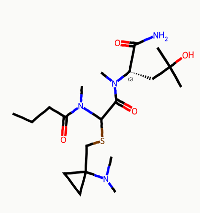 CCCC(=O)N(C)C(SCC1(N(C)C)CC1)C(=O)N(C)[C@@H](CC(C)(C)O)C(N)=O